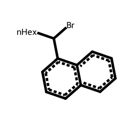 CCCCCCC(Br)c1cccc2ccccc12